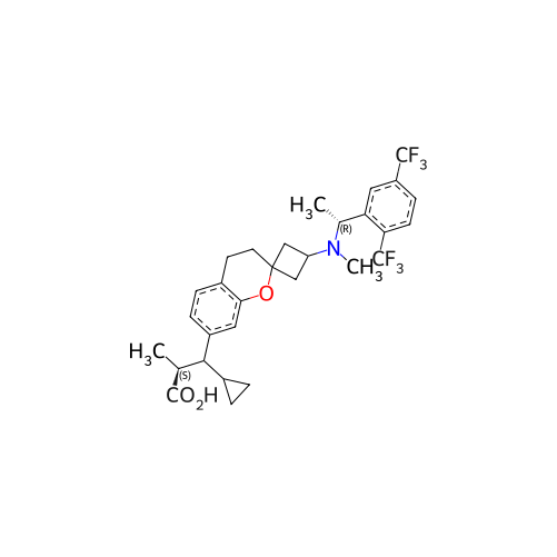 C[C@H](C(=O)O)C(c1ccc2c(c1)OC1(CC2)CC(N(C)[C@H](C)c2cc(C(F)(F)F)ccc2C(F)(F)F)C1)C1CC1